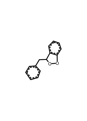 c1ccc(CC2OOc3ccccc32)cc1